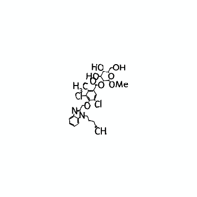 C#CCCCn1c(COc2c(Cl)cc(C(=O)O[C@H]3[C@@H](OC)O[C@H](CO)[C@@H](O)[C@@H]3O)c(C)c2Cl)nc2ccccc21